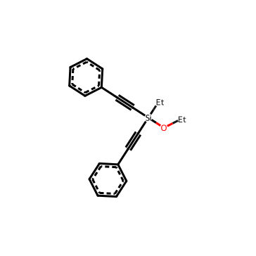 CCO[Si](C#Cc1ccccc1)(C#Cc1ccccc1)CC